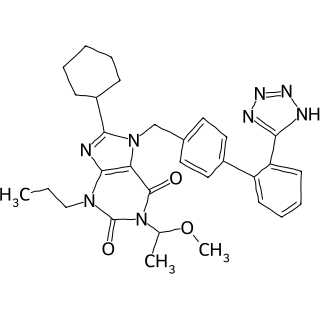 CCCn1c(=O)n(C(C)OC)c(=O)c2c1nc(C1CCCCC1)n2Cc1ccc(-c2ccccc2-c2nnn[nH]2)cc1